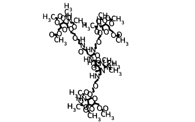 CC(=O)NC1C(OCCOCCNCC(C=O)(CCC(=O)N[C@@H](CCC(=O)NCCOCCOC2OC(COC(C)=O)C(OC(C)=O)C(OC(C)=O)C2NC(C)=O)C(=O)NCCOCCOC2OC(COC(C)=O)C(OC(C)=O)C(OC(C)=O)C2NC(C)=O)N=C(N(C)C)N(C)C)OC(COC(C)=O)C(OC(C)=O)C1OC(C)=O